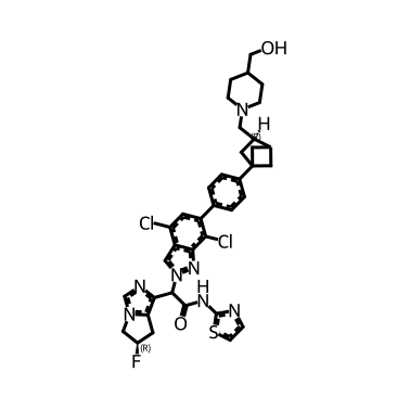 O=C(Nc1nccs1)C(c1ncn2c1C[C@@H](F)C2)n1cc2c(Cl)cc(-c3ccc(C45CC(C4)[C@H](CN4CCC(CO)CC4)C5)cc3)c(Cl)c2n1